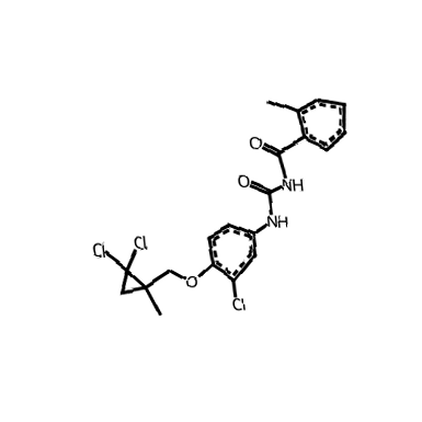 Cc1ccccc1C(=O)NC(=O)Nc1ccc(OCC2(C)CC2(Cl)Cl)c(Cl)c1